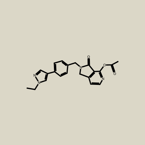 CCn1cc(-c2ccc(CN3Cc4ccnc(OC(C)=O)c4C3=O)cc2)cn1